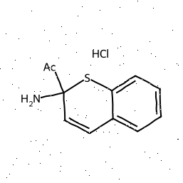 CC(=O)C1(N)C=Cc2ccccc2S1.Cl